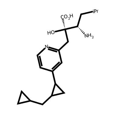 CC(C)C[C@H](N)[C@](O)(Cc1cc(C2CC2CC2CC2)ccn1)C(=O)O